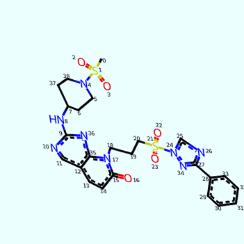 CS(=O)(=O)N1CCC(Nc2ncc3ccc(=O)n(CCCS(=O)(=O)n4cnc(-c5ccccc5)n4)c3n2)CC1